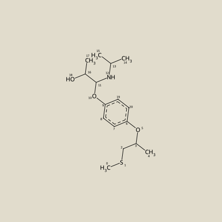 CSCC(C)Oc1ccc(OC(NC(C)C)C(C)O)cc1